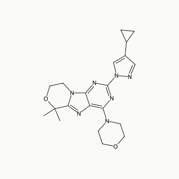 CC1(C)OCCn2c1nc1c(N3CCOCC3)nc(-n3cc(C4CC4)cn3)nc12